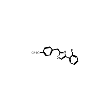 O=Cc1ccc(Cc2nc(-c3ccccc3F)cs2)cc1